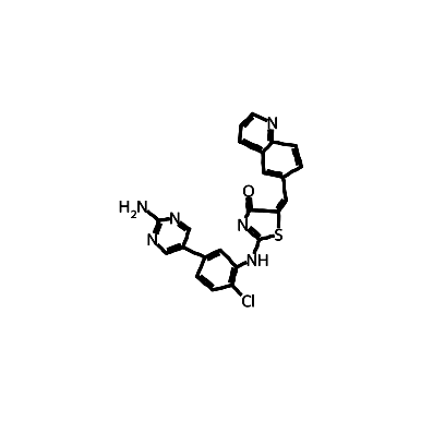 Nc1ncc(-c2ccc(Cl)c(NC3=NC(=O)C(=Cc4ccc5ncccc5c4)S3)c2)cn1